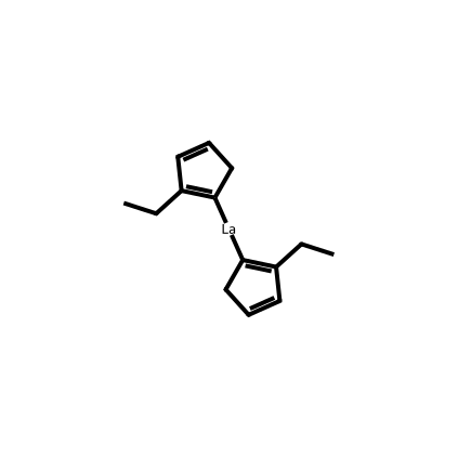 CCC1=[C]([La][C]2=C(CC)C=CC2)CC=C1